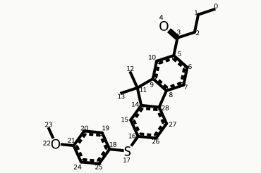 CCCC(=O)c1ccc2c(c1)C(C)(C)c1cc(Sc3ccc(OC)cc3)ccc1-2